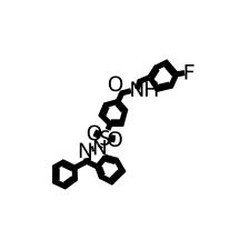 O=C(NCc1ccc(F)cc1)c1ccc(S(=O)(=O)n2nc(-c3ccccc3)c3ccccc32)cc1